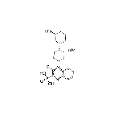 CCC[C@H]1CCC[C@H](N2CC[C@@H](n3c(=O)c(P(=O)(O)O)nc4ccccc43)C[C@H]2CCC)C1